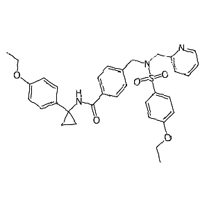 CCOc1ccc(C2(NC(=O)c3ccc(CN(Cc4ccccn4)S(=O)(=O)c4ccc(OCC)cc4)cc3)CC2)cc1